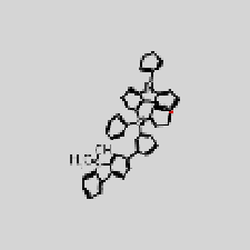 C[Si]1(C)c2ccccc2-c2ccc(-c3cccc([Si](c4ccccc4)(c4ccccc4)c4cccc5c4c4ccccc4n5C4=CCCC=C4)c3)cc21